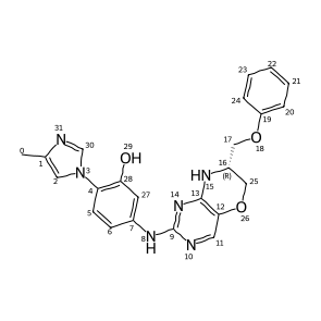 Cc1cn(-c2ccc(Nc3ncc4c(n3)N[C@H](COc3ccccc3)CO4)cc2O)cn1